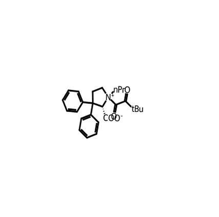 CCC[N+]1(C(=O)C(=O)C(C)(C)C)CCC(c2ccccc2)(c2ccccc2)[C@H]1C(=O)[O-]